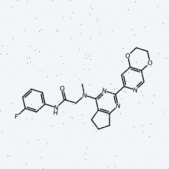 CN(CC(=O)Nc1cccc(F)c1)c1nc(-c2cc3c(cn2)OCCO3)nc2c1CCC2